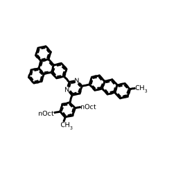 CCCCCCCCc1cc(-c2cc(-c3ccc4cc5cc(C)ccc5cc4c3)nc(-c3ccc4c5ccccc5c5ccccc5c4c3)n2)c(CCCCCCCC)cc1C